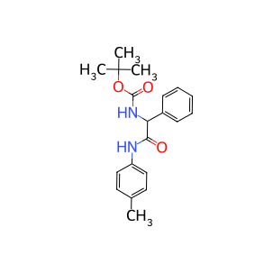 Cc1ccc(NC(=O)C(NC(=O)OC(C)(C)C)c2ccccc2)cc1